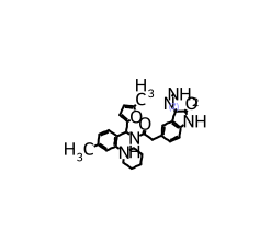 Cc1ccc(C(NC(=O)Cc2ccc3c(c2)/C(=N/N)C(=O)N3)c2ccc(C)o2)c(N2CCCCC2)c1